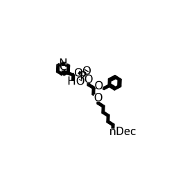 CCCCCCCCCCCCCCCCOCC(COP(=O)(O)OC(C)C1CN2CCC1CC2)OCc1ccccc1